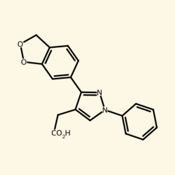 O=C(O)Cc1cn(-c2ccccc2)nc1-c1ccc2c(c1)OOC2